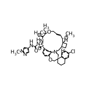 CO[C@H]1/C=C/COC(C)(C)C(=O)N=[S@@](=O)(NC(=O)Nc2cnn(C)c2)c2ccc3c(c2)N(C[C@@H]2CC[C@H]21)C[C@@]1(CCCc2cc(Cl)ccc21)CO3